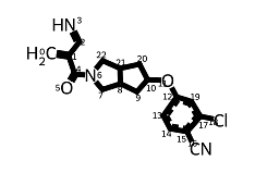 C=C(C=N)C(=O)N1CC2CC(Oc3ccc(C#N)c(Cl)c3)CC2C1